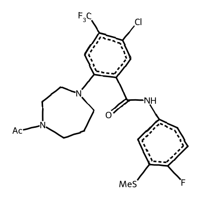 CSc1cc(NC(=O)c2cc(Cl)c(C(F)(F)F)cc2N2CCCN(C(C)=O)CC2)ccc1F